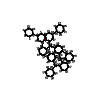 c1ccc(-c2cccc(-c3ccccc3N(c3cccc(-c4ccccc4)c3)c3ccc4c(c3)C3(c5ccccc5-4)c4ccccc4N(c4ccccc4)c4ccccc43)c2)cc1